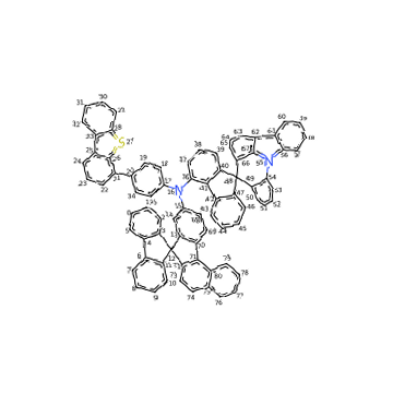 c1ccc2c(c1)-c1ccccc1C21c2cc(N(c3ccc(-c4cccc5c4sc4ccccc45)cc3)c3cccc4c3-c3ccccc3C43c4ccccc4-n4c5ccccc5c5cccc3c54)ccc2-c2c1ccc1ccccc21